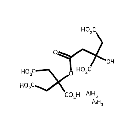 O=C(O)CC(O)(CC(=O)OC(CC(=O)O)(CC(=O)O)C(=O)O)C(=O)O.[AlH3].[AlH3]